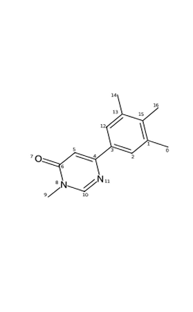 Cc1cc(-c2cc(=O)n(C)cn2)cc(C)c1C